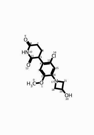 COc1cc(C2CCC(=O)NC2=O)c(Cl)cc1N1CC(O)C1